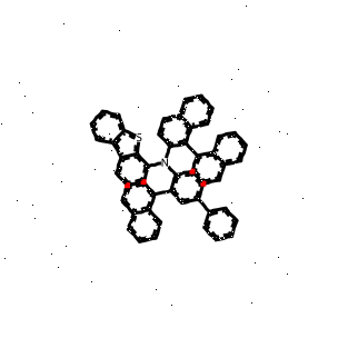 c1ccc(-c2ccc(N(c3ccc4ccccc4c3-c3cccc4ccccc34)c3cccc4c3sc3ccccc34)c(-c3cccc4ccccc34)c2)cc1